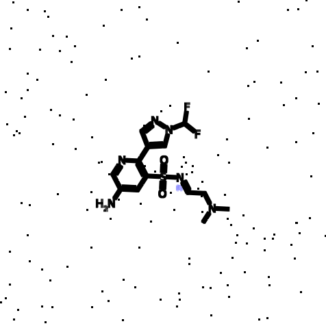 CN(C)C/C=N/S(=O)(=O)c1cc(N)cnc1-c1cnn(C(F)F)c1